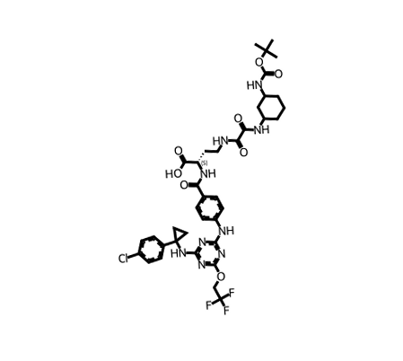 CC(C)(C)OC(=O)NC1CCCC(NC(=O)C(=O)NCC[C@H](NC(=O)c2ccc(Nc3nc(NC4(c5ccc(Cl)cc5)CC4)nc(OCC(F)(F)F)n3)cc2)C(=O)O)C1